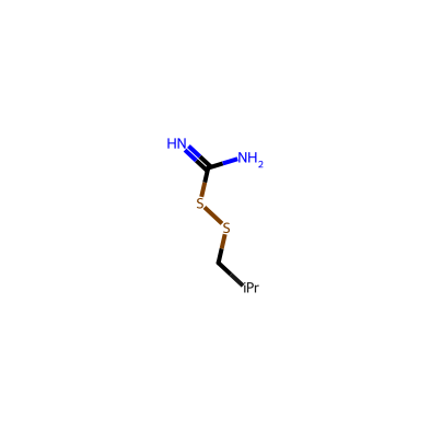 CC(C)CSSC(=N)N